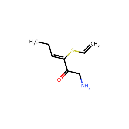 C=CS/C(=C\CC)C(=O)CN